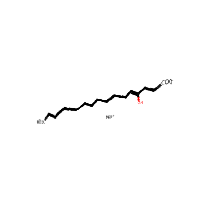 CCCCCCCCCCCCCCCCCCCCC=C(O)CCC(=O)[O-].[Na+]